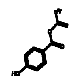 C=C(CCC)OC(=O)c1ccc(O)cc1